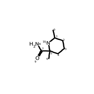 CC1CCCC(C)(C(N)=O)[N]1